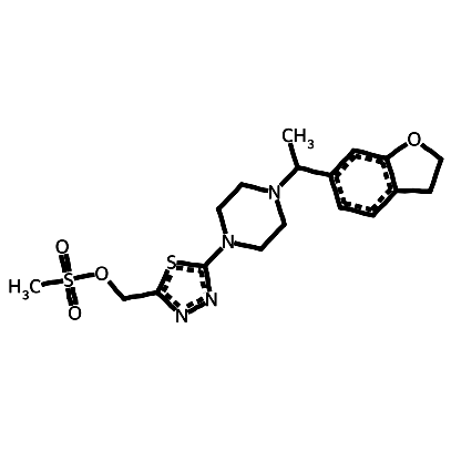 CC(c1ccc2c(c1)OCC2)N1CCN(c2nnc(COS(C)(=O)=O)s2)CC1